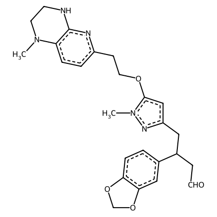 CN1CCNc2nc(CCOc3cc(CC(CC=O)c4ccc5c(c4)OCO5)nn3C)ccc21